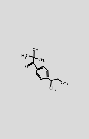 CCC(C)c1ccc(C(=O)C(C)(C)O)cc1